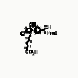 CCCCC[C@@H](O)c1ccc([C@@H]2[C@@H](CC=CCCCC(=O)O)[C@H](Cl)C[C@H]2O)cc1